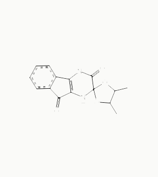 CC1OC2(NC3=C(NC2=O)c2ccccc2C3=O)OC1C